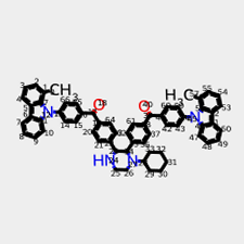 Cc1cccc2c3ccccc3n(-c3ccc(C(=O)c4ccc(C5NCCN(C6CCCCC6)C5c5ccc(C(=O)c6ccc(-n7c8ccccc8c8cccc(C)c87)cc6)cc5)cc4)cc3)c12